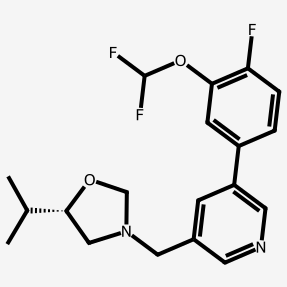 CC(C)[C@H]1CN(Cc2cncc(-c3ccc(F)c(OC(F)F)c3)c2)CO1